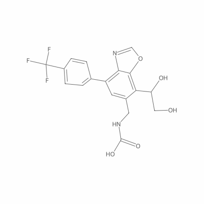 O=C(O)NCc1cc(-c2ccc(C(F)(F)F)cc2)c2ncoc2c1C(O)CO